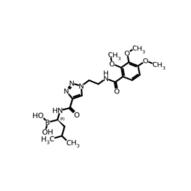 COc1ccc(C(=O)NCCn2cc(C(=O)N[C@@H](CC(C)C)B(O)O)nn2)c(OC)c1OC